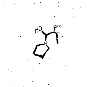 CC(C)[C@H](C)C(O)N1CCCC1